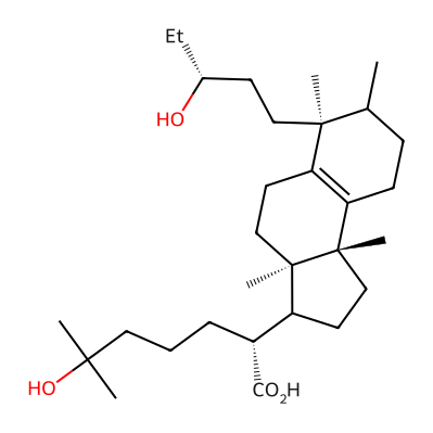 CC[C@@H](O)CC[C@]1(C)C2=C(CCC1C)[C@]1(C)CCC([C@@H](CCCC(C)(C)O)C(=O)O)[C@@]1(C)CC2